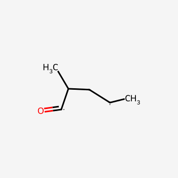 C[CH]CC(C)[C]=O